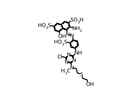 CN(CCSCCO)c1nc(Cl)nc(Nc2ccc(/N=N/c3c(N)c(S(=O)(=O)O)cc4cc(S(=O)(=O)O)cc(O)c34)c(S(=O)(=O)O)c2)n1